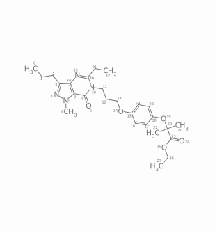 CCCc1nn(C)c2c(=O)n(CCCOc3ccc(OC(C)(C)C(=O)OCC)cc3)c(CC)nc12